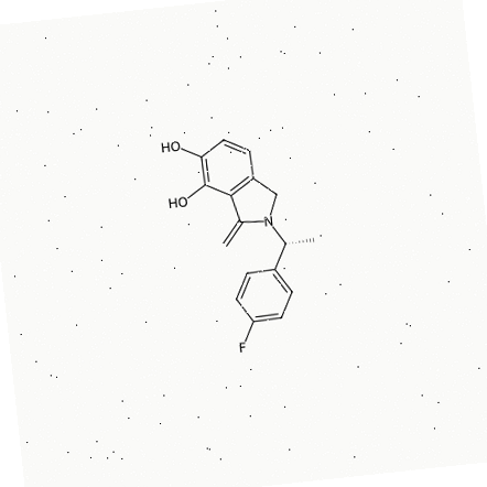 C=C1c2c(ccc(O)c2O)CN1[C@H](C)c1ccc(F)cc1